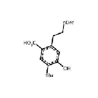 CCCCCCCCCCCCc1cc(O)c(C(C)(C)C)cc1C(=O)O